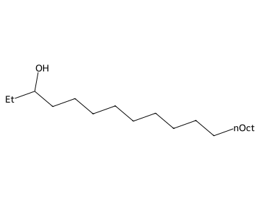 CCCCCCCCCCCCCCCCCC(O)CC